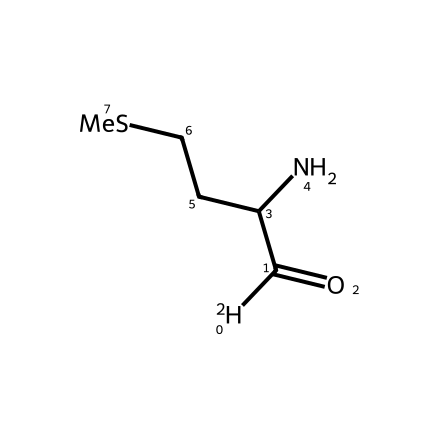 [2H]C(=O)C(N)CCSC